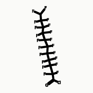 O=C(Cl)C(F)(F)C(F)(F)C(F)(F)C(F)(F)C(F)(F)C(F)(F)C(F)(F)C(F)(F)C(F)(F)C(F)F